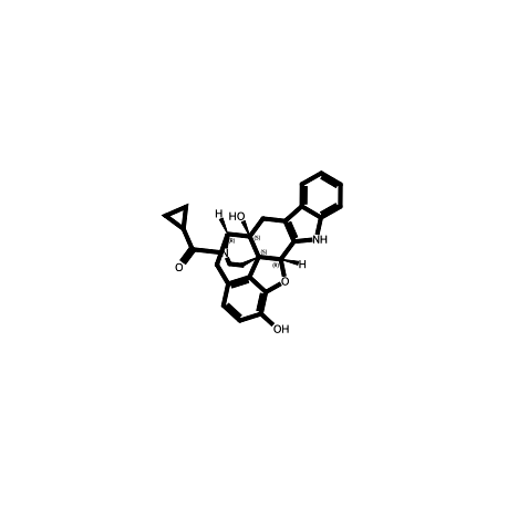 O=C(C1CC1)N1CC[C@]23c4c5ccc(O)c4O[C@H]2c2[nH]c4ccccc4c2C[C@@]3(O)[C@H]1C5